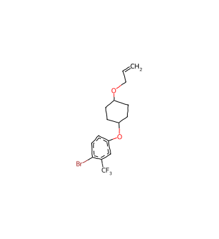 C=CCOC1CCC(Oc2ccc(Br)c(C(F)(F)F)c2)CC1